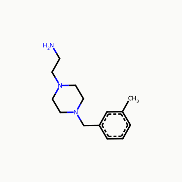 Cc1cccc(CN2CCN(CCN)CC2)c1